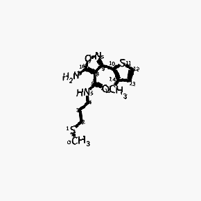 CSCCCNC(=O)c1c(-c2sccc2C)noc1N